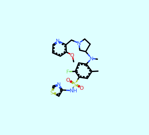 COc1cccnc1CN1CCC(N(C)c2cc(F)c(S(=O)(=O)Nc3cscn3)cc2C)C1